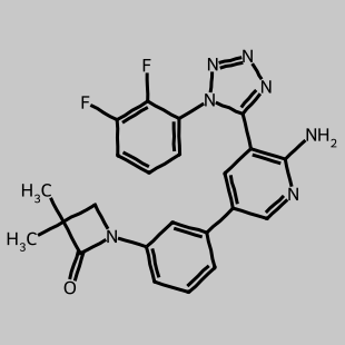 CC1(C)CN(c2cccc(-c3cnc(N)c(-c4nnnn4-c4cccc(F)c4F)c3)c2)C1=O